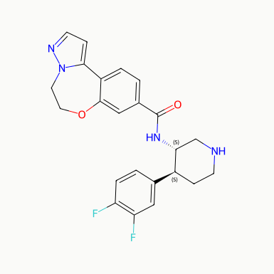 O=C(N[C@@H]1CNCC[C@H]1c1ccc(F)c(F)c1)c1ccc2c(c1)OCCn1nccc1-2